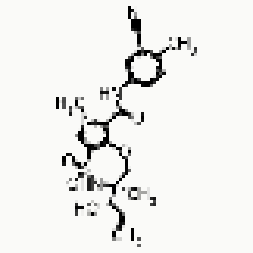 C=C[C@H](O)[C@]1(C)COc2c(cn(C)c2C(=O)Nc2ccc(C)c(C#N)c2)S(=O)(=O)N1